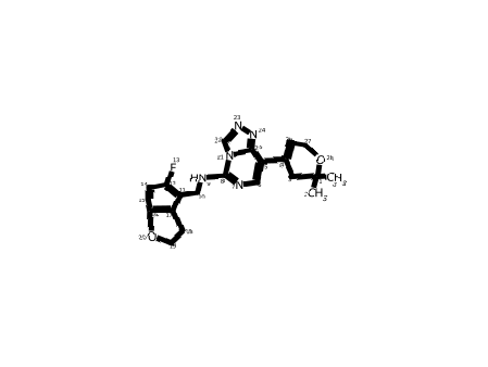 CC1(C)CC(c2cnc(NCc3c(F)ccc4c3CCO4)n3cnnc23)=CCO1